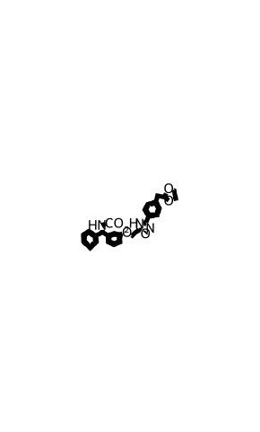 O=C(O)NC(c1ccccc1)c1cccc(OCc2nc(-c3ccc(CC4OCCO4)cc3)no2)c1